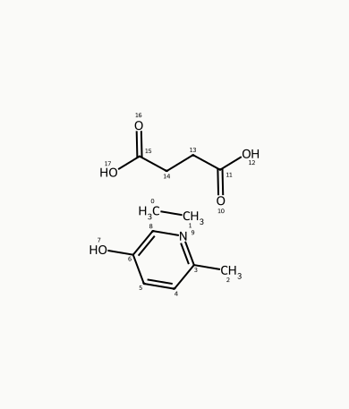 CC.Cc1ccc(O)cn1.O=C(O)CCC(=O)O